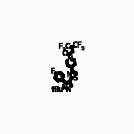 CC(C)(C)n1ncc(-c2nc(C3CCN(C(=O)CC(C(F)(F)F)C(F)(F)F)CC3)cs2)c1-c1ccc(F)cc1